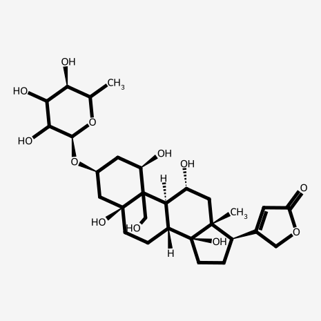 CC1O[C@@H](O[C@H]2C[C@@H](O)C3(CO)[C@H]4[C@H](O)C[C@]5(C)[C@@H](C6=CC(=O)OC6)CC[C@]5(O)[C@@H]4CC[C@]3(O)C2)C(O)C(O)[C@H]1O